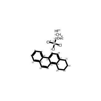 C.CCCCCCCCCC[Si](Cl)(Cl)Cl.F.c1ccc2c(c1)ccc1c3c(ccc12)CCCC3